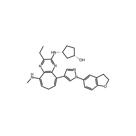 CCc1nc2c(nc1N[C@@H]1CC[C@H](O)C1)C(c1cnn(-c3ccc4c(c3)CCO4)c1)=CCC=C2NC